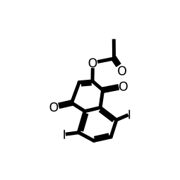 CC(=O)OC1=CC(=O)c2c(I)ccc(I)c2C1=O